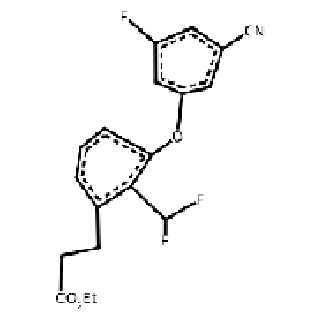 CCOC(=O)CCc1cccc(Oc2cc(F)cc(C#N)c2)c1C(F)F